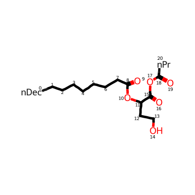 CCCCCCCCCCCCCCCCCC(=O)OC(CCO)C(=O)OC(=O)CCC